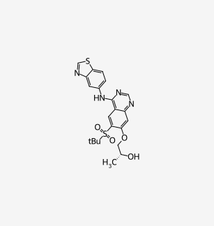 C[C@@H](O)COc1cc2ncnc(Nc3ccc4scnc4c3)c2cc1S(=O)(=O)C(C)(C)C